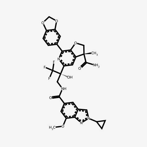 COc1cc(C(=O)NC[C@](O)(c2cc3c(c(-c4ccc5c(c4)OCO5)n2)OC[C@]3(C)C(N)=O)C(F)(F)F)cc2cn(C3CC3)nc12